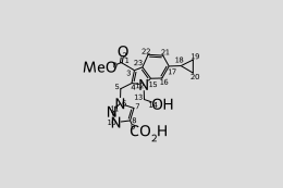 COC(=O)c1c(Cn2cc(C(=O)O)nn2)n(CO)c2cc(C3CC3)ccc12